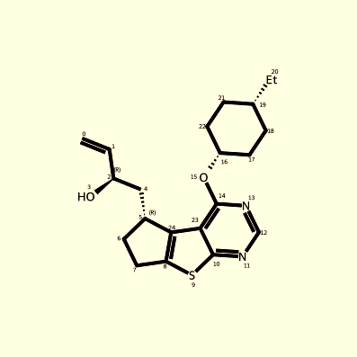 C=C[C@H](O)C[C@H]1CCc2sc3ncnc(O[C@H]4CC[C@@H](CC)CC4)c3c21